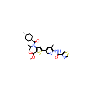 COC(=O)c1sc(-c2cnc(NC(=O)c3cscn3)c(C)c2)cc1N(C(=O)[C@H]1CC[C@H](C)CC1)C(C)C